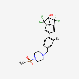 CCc1cc(CN2CCN(S(C)(=O)=O)CC2)ccc1-c1cc2c3c(c1)C(F)(F)C3(O)C2(F)F